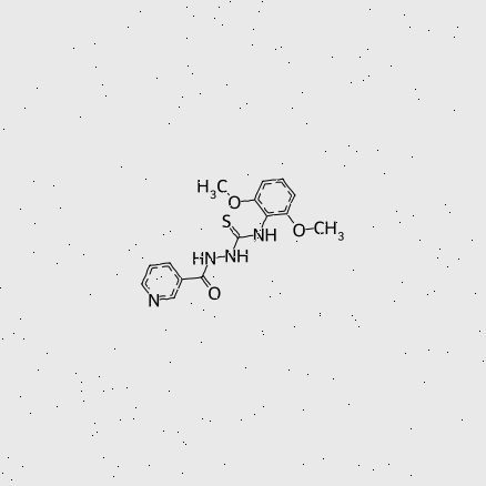 COc1cccc(OC)c1NC(=S)NNC(=O)c1cccnc1